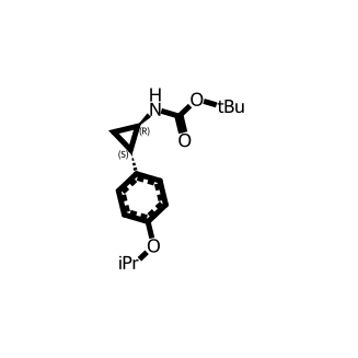 CC(C)Oc1ccc([C@@H]2C[C@H]2NC(=O)OC(C)(C)C)cc1